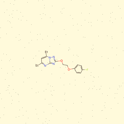 CCc1cc(CC)n2nc(OCCOc3ccc(F)cc3)nc2n1